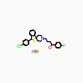 Br.O=C(CCCN1CCC2(CC1)SC(c1ccc(Cl)cc1)c1ccccc12)c1ccc(F)cc1